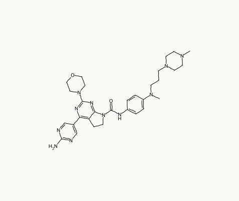 CN1CCN(CCCN(C)c2ccc(NC(=O)N3CCc4c(-c5cnc(N)nc5)nc(N5CCOCC5)nc43)cc2)CC1